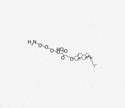 CC(C)CCC[C@@H](C)[C@H]1CCC2C3CC=C4CC(OCCCC(=O)C(COCCOCCOCCOCCN)C(=O)O)CC[C@]4(C)C3CC[C@@]21C